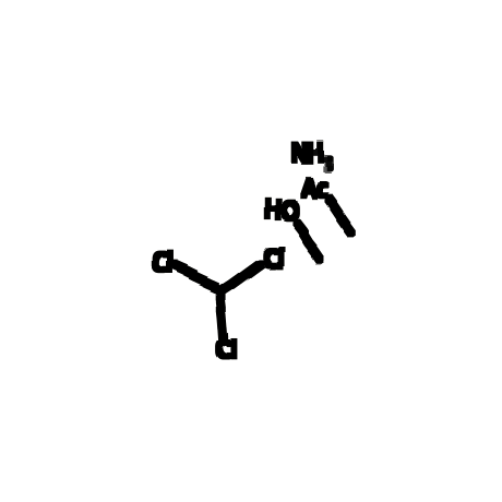 CC(C)=O.CO.ClC(Cl)Cl.N